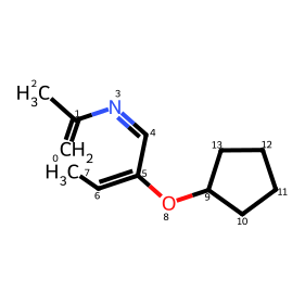 C=C(C)/N=C\C(=C/C)OC1CCCC1